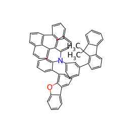 CC1(C)c2ccccc2-c2cccc(-c3cccc(N(c4ccccc4-c4cccc5c4oc4ccccc45)c4ccccc4-c4cccc5cccc(-c6ccccc6)c45)c3)c21